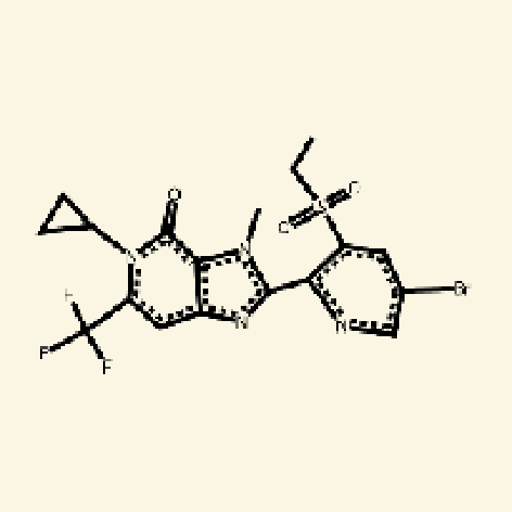 CCS(=O)(=O)c1cc(Br)cnc1-c1nc2cc(C(F)(F)F)n(C3CC3)c(=O)c2n1C